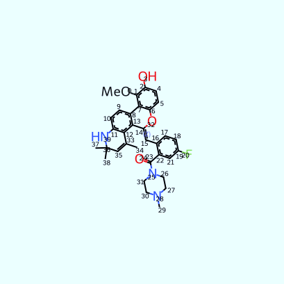 COc1c(O)ccc2c1-c1ccc3c(c1/C(=C/c1ccc(F)cc1C(=O)N1CCN(C)CC1)O2)C(C)=CC(C)(C)N3